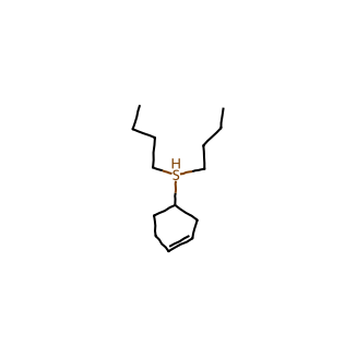 CCCC[SH](CCCC)C1CC=CCC1